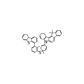 Cc1c(SC2(C)C=CC(n3c4c(c5c6c(ccc53)-c3ccccc3C6(C)C)CCC=C4)=CC2)cccc1-c1cccc2c1SC1=CC=CCC12